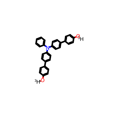 [3H]Oc1ccc(-c2ccc(N(c3ccccc3)c3ccc(-c4ccc(O[3H])cc4)cc3)cc2)cc1